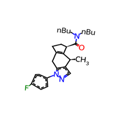 CCCCN(CCCC)C(=O)[C@@H]1CCC2=C1[C@@H](C)c1cnn(-c3ccc(F)cc3)c1C2